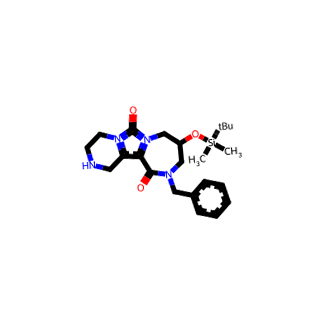 CC(C)(C)[Si](C)(C)OC1CN(Cc2ccccc2)C(=O)c2c3n(c(=O)n2C1)CCNC3